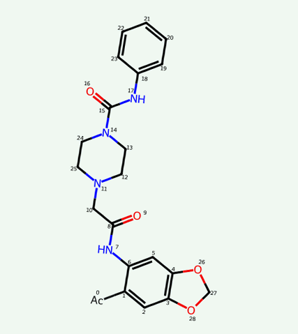 CC(=O)c1cc2c(cc1NC(=O)CN1CCN(C(=O)Nc3ccccc3)CC1)OCO2